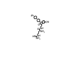 CC(C)[C@H]1CC[C@@H](N2CCC(N3C(=O)C(CCNC(=O)[C@@H](N)CCCNC(=N)N)c4cc(C#N)ccc43)CC2)CC1